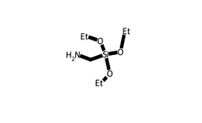 CCO[Si](CN)(OCC)OCC